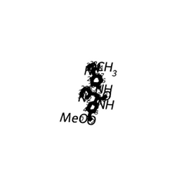 COC(=O)c1ccc2c(c1)NC(=O)/C2=C(\Nc1ccc(-c2nccn2C)cc1)c1cccnc1